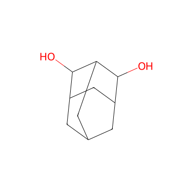 OC1C2CC3CC(C2)C(O)C1C3